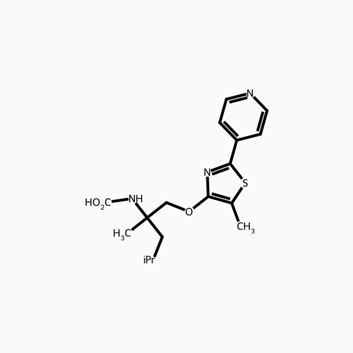 Cc1sc(-c2ccncc2)nc1OCC(C)(CC(C)C)NC(=O)O